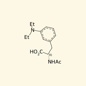 CCN(CC)c1cccc(C[C@H](NC(C)=O)C(=O)O)c1